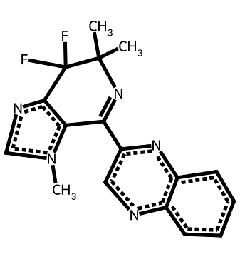 Cn1cnc2c1C(c1cnc3ccccc3n1)=NC(C)(C)C2(F)F